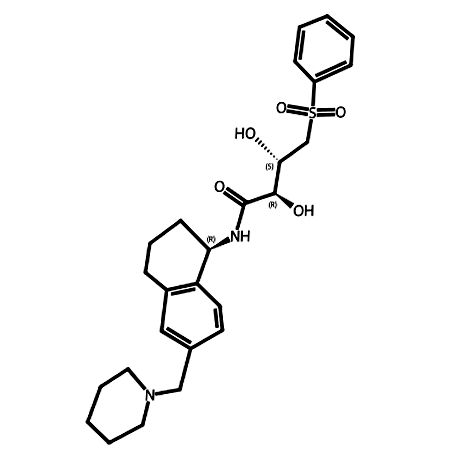 O=C(N[C@@H]1CCCc2cc(CN3CCCCC3)ccc21)[C@H](O)[C@H](O)CS(=O)(=O)c1ccccc1